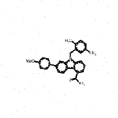 COc1ccc(-c2c[c]c3c4c(C(N)=O)cccc4n(Cc4cc(C)ccc4C)c3c2)cc1